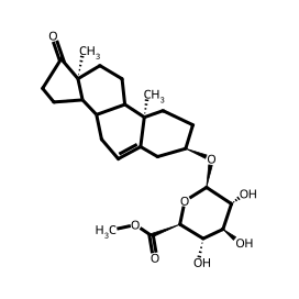 COC(=O)[C@H]1O[C@@H](O[C@@H]2CC[C@@]3(C)C(=CCC4C3CC[C@]3(C)C(=O)CCC43)C2)[C@H](O)[C@@H](O)[C@@H]1O